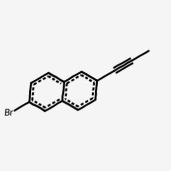 CC#Cc1ccc2cc(Br)ccc2c1